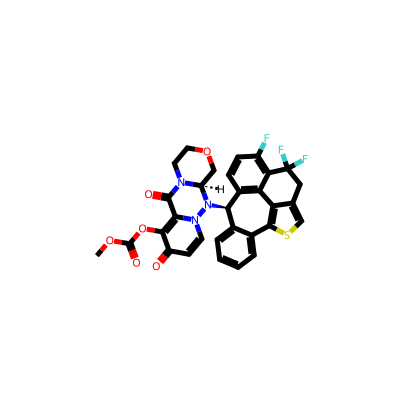 COC(=O)Oc1c2n(ccc1=O)N([C@@H]1c3ccccc3-c3scc4c3-c3c1ccc(F)c3C(F)(F)C4)[C@@H]1COCCN1C2=O